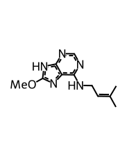 COc1nc2c(NCC=C(C)C)ncnc2[nH]1